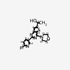 C=C(O)c1cc2nc(-c3ccc(F)nc3)nc(N3CCOCC3)c2s1